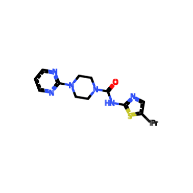 CC(C)c1cnc(NC(=O)N2CCN(c3ncccn3)CC2)s1